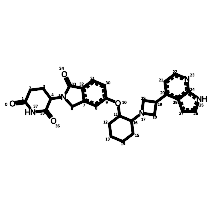 O=C1CCC(N2Cc3cc(OC4CCCCC4N4CC(c5ccnc6[nH]ccc56)C4)ccc3C2=O)C(=O)N1